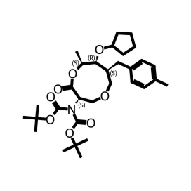 Cc1ccc(C[C@H]2COC[C@H](N(C(=O)OC(C)(C)C)C(=O)OC(C)(C)C)C(=O)O[C@@H](C)[C@@H]2OC2CCCC2)cc1